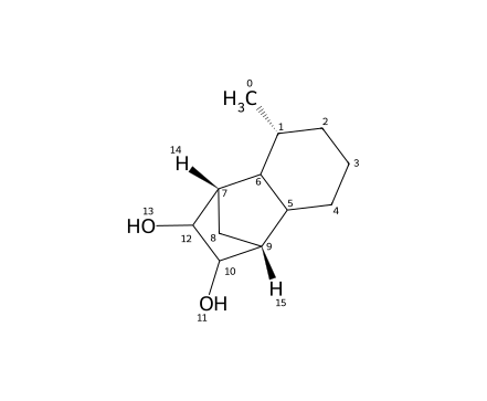 C[C@@H]1CCCC2C1[C@@H]1C[C@H]2C(O)C1O